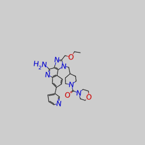 CCOCc1nc2c(N)nc3cc(-c4cccnc4)ccc3c2n1CC1CCN(C(=O)N2CCOCC2)CC1